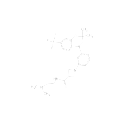 CN(C)CCNC(=O)C1CN(c2cccc(N3CC(C)(C)Oc4cc(C(F)(F)F)ccc43)c2)C1